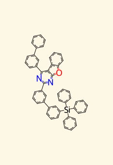 c1ccc(-c2cccc(-c3nc(-c4cccc(-c5cccc([Si](c6ccccc6)(c6ccccc6)c6ccccc6)c5)c4)nc4oc5ccccc5c34)c2)cc1